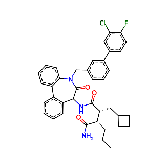 CCC[C@H](C(N)=O)[C@@H](CC1CCC1)C(=O)NC1C(=O)N(Cc2cccc(-c3ccc(F)c(Cl)c3)c2)c2ccccc2-c2ccccc21